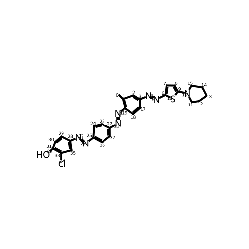 Cc1cc(N=Nc2ccc(N3CCCCC3)s2)ccc1N=Nc1ccc(N=Nc2ccc(O)c(Cl)c2)cc1